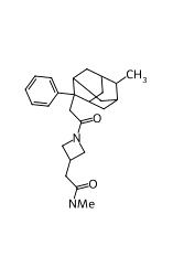 CNC(=O)CC1CN(C(=O)CC2(c3ccccc3)C3CC4CC2CC(C3)C4C)C1